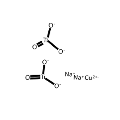 [Cu+2].[Na+].[Na+].[O]=[Ti]([O-])[O-].[O]=[Ti]([O-])[O-]